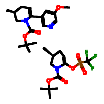 COc1cncc(C2=CC[C@H](C)CN2C(=O)OC(C)(C)C)c1.C[C@H]1CC=C(OS(=O)(=O)C(F)(F)F)N(C(=O)OC(C)(C)C)C1